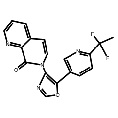 CC(F)(F)c1ccc(-c2ocnc2-n2ccc3cccnc3c2=O)cn1